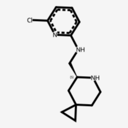 Clc1cccc(NC[C@@H]2CC3(CCN2)CC3)n1